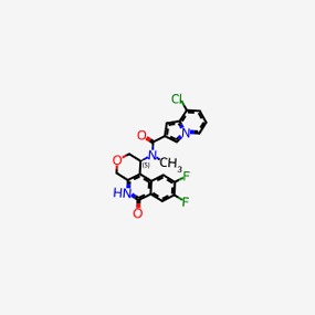 CN(C(=O)c1cc2c(Cl)cccn2c1)[C@@H]1COCc2[nH]c(=O)c3cc(F)c(F)cc3c21